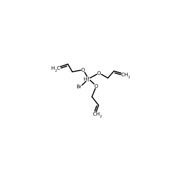 C=CC[O][Hf]([Br])([O]CC=C)[O]CC=C